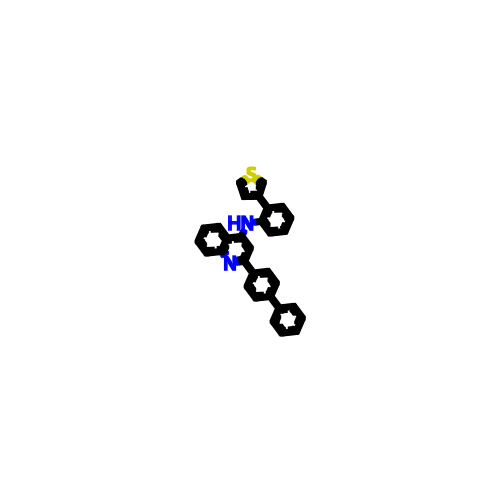 c1ccc(-c2ccc(-c3cc(Nc4ccccc4-c4ccsc4)c4ccccc4n3)cc2)cc1